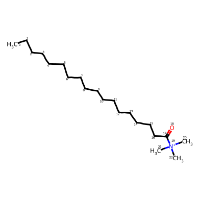 CCCCCCCCCCCCCCCCCC(=O)[N+](C)(C)C